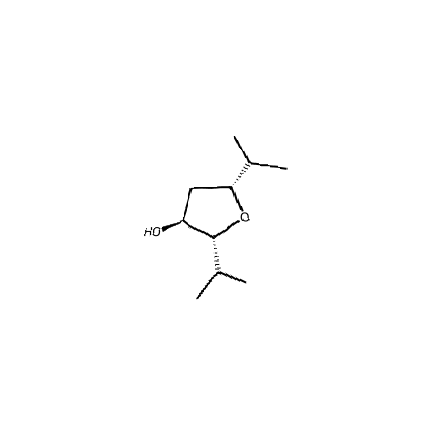 CC(C)[C@H]1O[C@@H](C(C)C)C[C@@H]1O